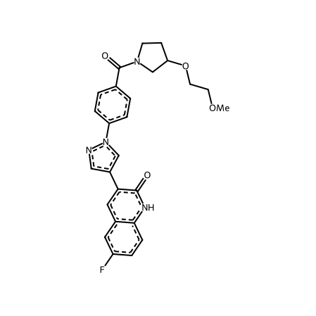 COCCOC1CCN(C(=O)c2ccc(-n3cc(-c4cc5cc(F)ccc5[nH]c4=O)cn3)cc2)C1